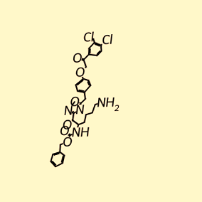 NCCCCC(NC(=O)OCc1ccccc1)C(=O)c1noc(Cc2ccc(OCC(=O)c3ccc(Cl)c(Cl)c3)cc2)n1